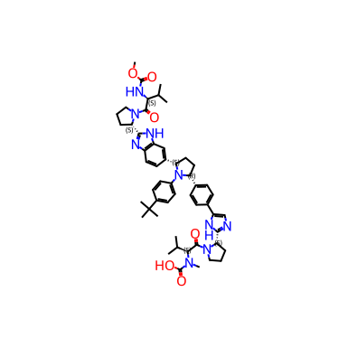 COC(=O)N[C@H](C(=O)N1CCC[C@H]1c1nc2ccc([C@@H]3CC[C@H](c4ccc(-c5cnc([C@@H]6CCCN6C(=O)[C@H](C(C)C)N(C)C(=O)O)[nH]5)cc4)N3c3ccc(C(C)(C)C)cc3)cc2[nH]1)C(C)C